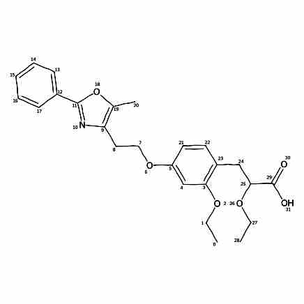 CCOc1cc(OCCc2nc(-c3ccccc3)oc2C)ccc1CC(OCC)C(=O)O